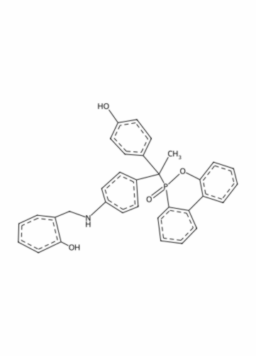 CC(c1ccc(O)cc1)(c1ccc(NCc2ccccc2O)cc1)P1(=O)Oc2ccccc2-c2ccccc21